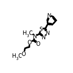 COCCOC(=O)N(C)c1nnc(-c2cccnc2)s1